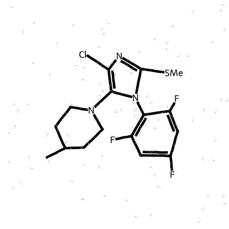 CSc1nc(Cl)c(N2CCC(C)CC2)n1-c1c(F)cc(F)cc1F